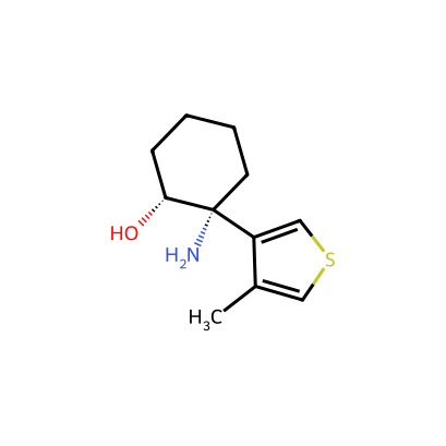 Cc1cscc1[C@]1(N)CCCC[C@H]1O